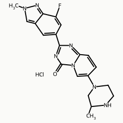 CC1CN(c2ccc3nc(-c4cc(F)c5nn(C)cc5c4)nc(=O)n3c2)CCN1.Cl